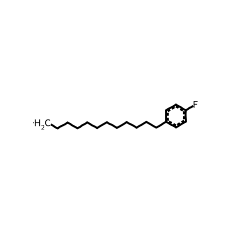 [CH2]CCCCCCCCCCCc1ccc(F)cc1